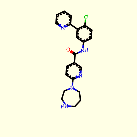 O=C(Nc1ccc(Cl)c(-c2ccccn2)c1)c1ccc(N2CCCNCC2)nc1